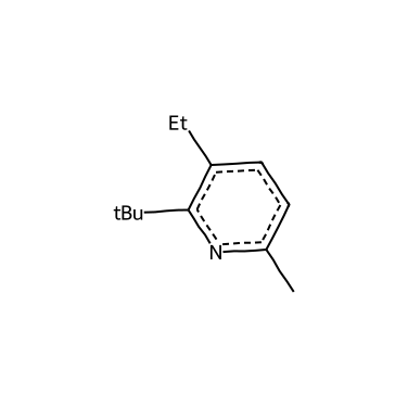 CCc1ccc(C)nc1C(C)(C)C